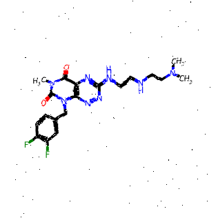 CN(C)CCNCCNc1nnc2c(n1)c(=O)n(C)c(=O)n2Cc1ccc(F)c(F)c1